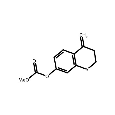 C=C1CCSc2cc(OC(=O)OC)ccc21